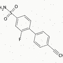 C#Cc1ccc(-c2ccc(S(N)(=O)=O)cc2F)cc1